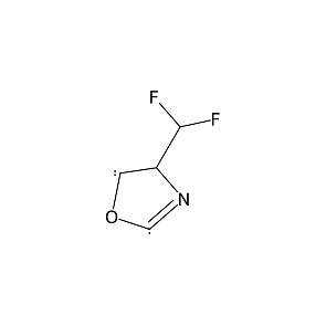 FC(F)C1[C]O[C]=N1